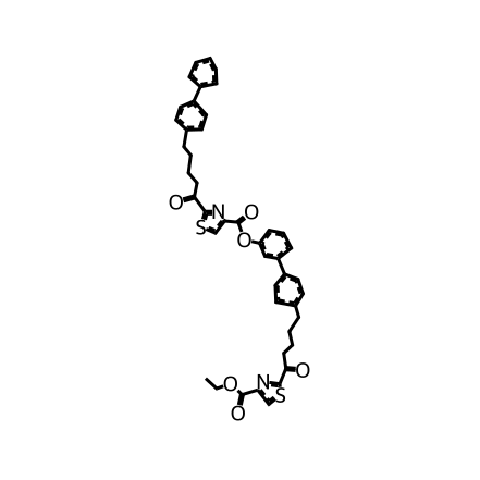 CCOC(=O)c1csc(C(=O)CCCCc2ccc(-c3cccc(OC(=O)c4csc(C(=O)CCCCc5ccc(-c6ccccc6)cc5)n4)c3)cc2)n1